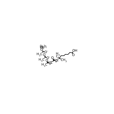 CC(=O)[O-].CC(=O)[O-].CC(=O)[O-].CC(=O)[O-].CC(C)(C)CCCCCC(=O)O.[Pb+2].[Pb+2]